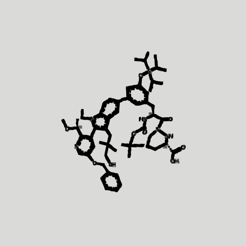 CCn1c(-c2cc(OCc3ccccc3)cnc2[C@H](C)OC)c(CC(C)(C)CO)c2cc(-c3cc(C[C@H](NC(=O)OC(C)(C)C)C(=O)N4CCC[C@@H](C(=O)O)N4)cc(O[Si](C(C)C)(C(C)C)C(C)C)c3)ccc21